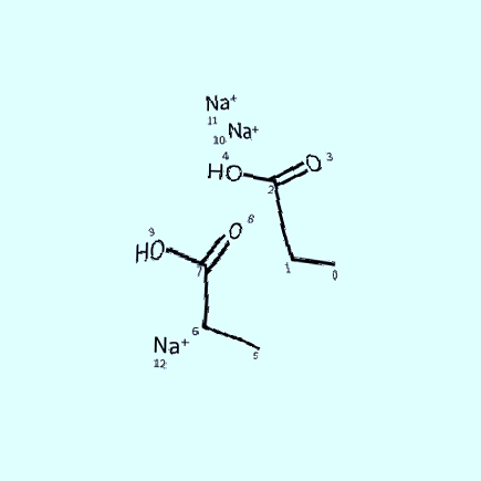 CCC(=O)O.CCC(=O)O.[Na+].[Na+].[Na+]